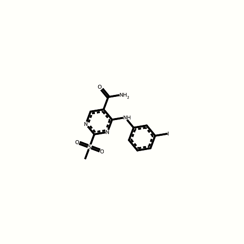 CS(=O)(=O)c1ncc(C(N)=O)c(Nc2cccc(I)c2)n1